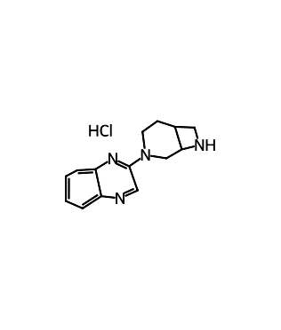 Cl.c1ccc2nc(N3CCC4CNC4C3)cnc2c1